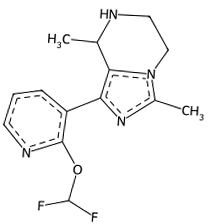 Cc1nc(-c2cccnc2OC(F)F)c2n1CCNC2C